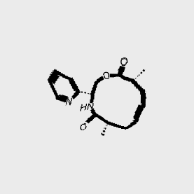 C[C@@H]1CC=CC[C@H](C)C(=O)N[C@H](c2ccccn2)COC1=O